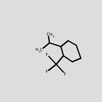 CC(C)C1CCCCC1C(F)(F)F